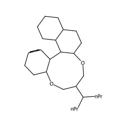 CCCC(CCC)C1COC2CCC3CCCCC3C2C2C(CCC3CCCCC32)OC1